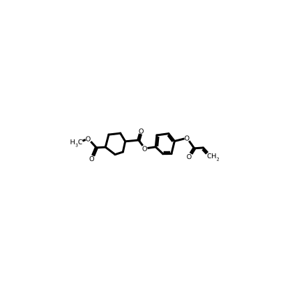 C=CC(=O)Oc1ccc(OC(=O)C2CCC(C(=O)OC)CC2)cc1